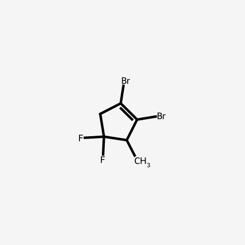 CC1C(Br)=C(Br)CC1(F)F